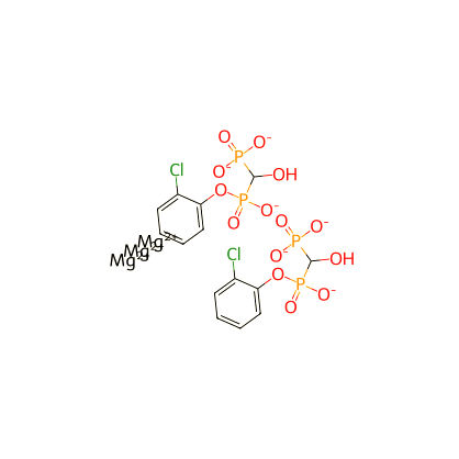 O=P([O-])([O-])C(O)P(=O)([O-])Oc1ccccc1Cl.O=P([O-])([O-])C(O)P(=O)([O-])Oc1ccccc1Cl.[Mg+2].[Mg+2].[Mg+2]